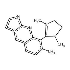 Cc1ccc2cn3ccnc3nc2c1C1=[N+](C)CCN1C